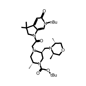 CCCCn1cc2c(cc1=O)C(C)(C)CN2C(=O)CN1C[C@@H](C)N(C(=O)OC(C)(C)C)C[C@@H]1CN1[C@H](C)COC[C@H]1C